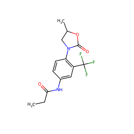 CCC(=O)Nc1ccc(N2CC(C)OC2=O)c(C(F)(F)F)c1